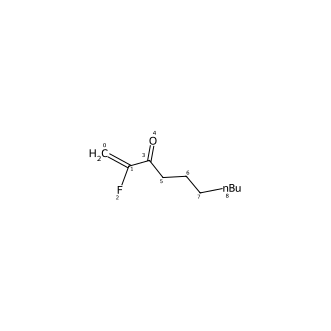 C=C(F)C(=O)CCCCCCC